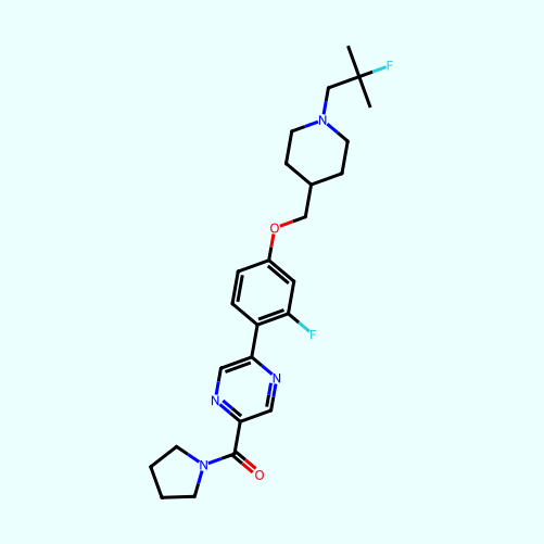 CC(C)(F)CN1CCC(COc2ccc(-c3cnc(C(=O)N4CCCC4)cn3)c(F)c2)CC1